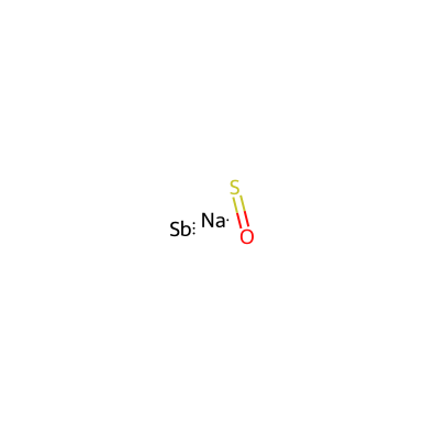 O=S.[Na].[Sb]